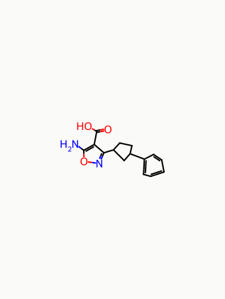 Nc1onc(C2CCC(c3ccccc3)C2)c1C(=O)O